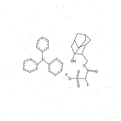 O=C(OCC1C2CC3CC(C2)CC1(O)C3)C(F)S(=O)(=O)OF.c1ccc([S+](c2ccccc2)c2ccccc2)cc1